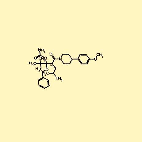 COc1ccc(N2CCN(C(=O)[C@@H](CC(C)C)C(OCc3ccccc3)(OC(N)=O)C(C)(C)C)CC2)cc1